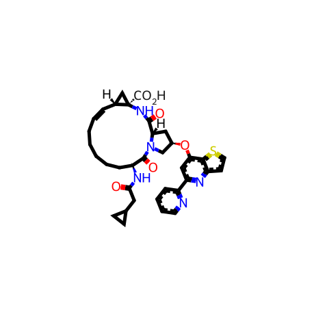 O=C(CC1CC1)N[C@H]1CCCCC/C=C\[C@@H]2C[C@@]2(C(=O)O)NC(=O)[C@@H]2C[C@@H](Oc3cc(-c4ccccn4)nc4ccsc34)CN2C1=O